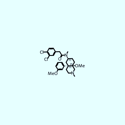 COc1cccc([C@@]23CCN(C)C[C@@]2(OC)CC[C@H](N(C)C(=O)Cc2ccc(Cl)c(Cl)c2)C3)c1